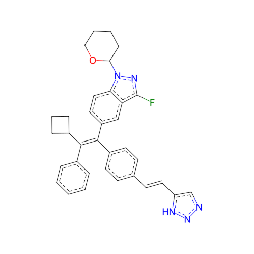 Fc1nn(C2CCCCO2)c2ccc(/C(=C(/c3ccccc3)C3CCC3)c3ccc(/C=C/c4cnn[nH]4)cc3)cc12